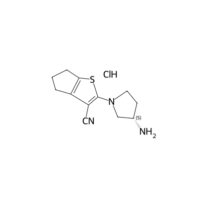 Cl.N#Cc1c(N2CC[C@H](N)C2)sc2c1CCC2